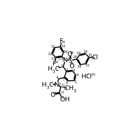 C[C@H](c1ccccc1CN(C)[C@@H](C)C(=O)O)N(c1cc(F)ccc1F)S(=O)(=O)c1ccc(Cl)cc1.Cl